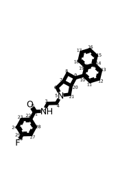 O=C(NCCN1CC2CC(c3cccc4ccccc34)C2C1)c1ccc(F)cc1